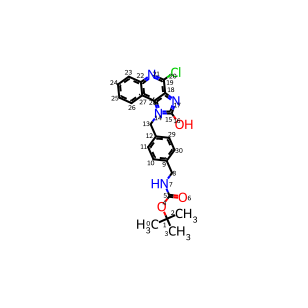 CC(C)(C)OC(=O)NCc1ccc(Cn2c(O)nc3c(Cl)nc4ccccc4c32)cc1